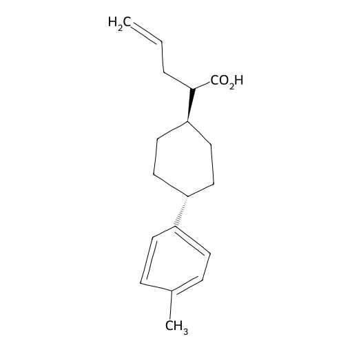 C=CCC(C(=O)O)[C@H]1CC[C@H](c2ccc(C)cc2)CC1